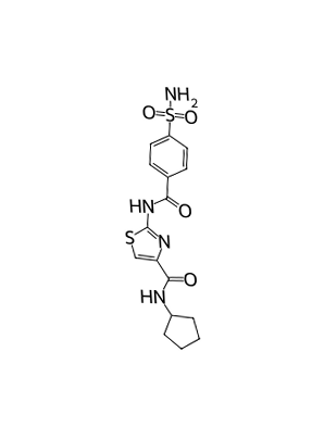 NS(=O)(=O)c1ccc(C(=O)Nc2nc(C(=O)NC3CCCC3)cs2)cc1